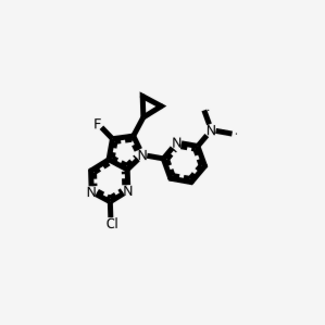 [CH2]N([CH2])c1cccc(-n2c(C3CC3)c(F)c3cnc(Cl)nc32)n1